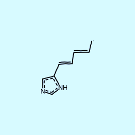 [CH2]C=CC=Cc1cnc[nH]1